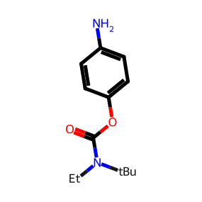 CCN(C(=O)Oc1ccc(N)cc1)C(C)(C)C